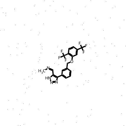 C/N=C\c1[nH]nnc1-c1cccc(COc2cc(C(F)(F)F)ccc2C(F)(F)F)c1